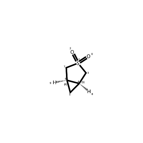 O=S1(=O)C[C@H]2C[C@H]2C1